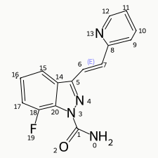 NC(=O)n1nc(/C=C/c2ccccn2)c2c[c]cc(F)c21